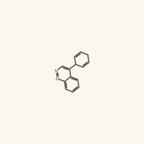 C1=CC(c2cnnc3ccccc23)C=CC1